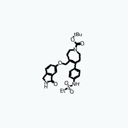 CCS(=O)(=O)Nc1ccc(C2=C(COc3ccc4c(c3)C(=O)NC4)CCN(C(=O)OC(C)(C)C)CC2)cc1